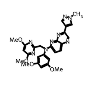 COc1cc(OC)cc(N(Cc2nc(OC)cc(OC)n2)c2ccc3ncc(-c4cnn(C)c4)nc3n2)c1